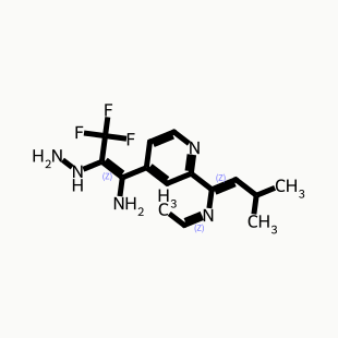 C/C=N\C(=C/C(C)C)c1cc(/C(N)=C(/NN)C(F)(F)F)ccn1